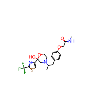 CNC(=O)COc1ccc(CC(C)N2CCOC(O)(c3csc(C(F)(F)F)n3)C2)cc1